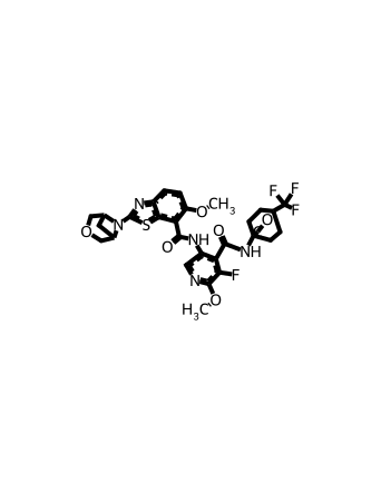 COc1ccc2nc(N3C4COCC3C4)sc2c1C(=O)Nc1cnc(OC)c(F)c1C(=O)NC12CCC(C(F)(F)F)(CC1)OC2